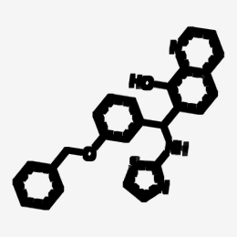 Oc1c(C(Nc2nccs2)c2cccc(OCc3ccccc3)c2)ccc2cccnc12